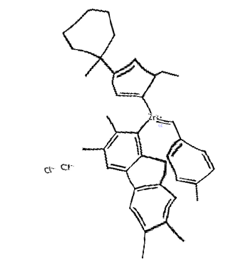 Cc1ccc(/[CH]=[Zr+2](/[C]2=CC(C3(C)CCCCC3)=CC2C)[c]2c(C)c(C)cc3c2Cc2cc(C)c(C)cc2-3)cc1.[Cl-].[Cl-]